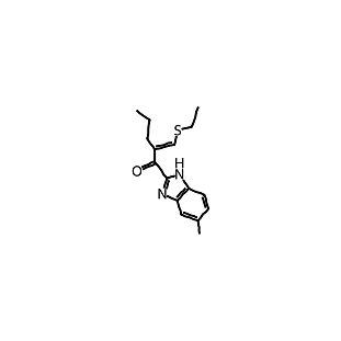 CCCC(=CSCC)C(=O)c1nc2cc(C)ccc2[nH]1